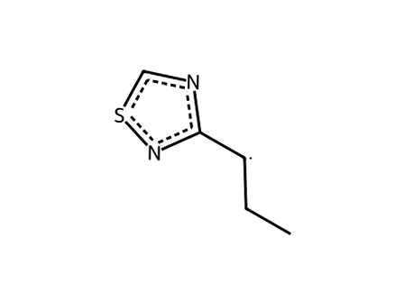 CC[CH]c1ncsn1